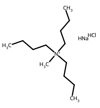 CCCC[N+](C)(CCCC)CCCC.Cl.[NaH]